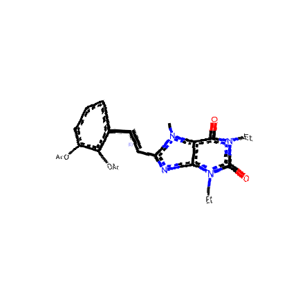 CCn1c(=O)c2c(nc(/C=C/c3cccc(OC(C)=O)c3OC(C)=O)n2C)n(CC)c1=O